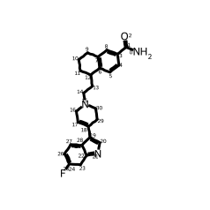 NC(=O)c1ccc2c(c1)CCCC2CCN1CC=C(C2=CN=C3CC(F)=CC=C23)CC1